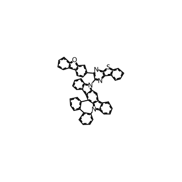 c1ccc2c(c1)-c1ccccc1-n1c3ccccc3c3cc4c(c-2c31)c1ccccc1n4-c1nc2c(nc1-c1ccc3c(c1)oc1ccccc13)sc1ccccc12